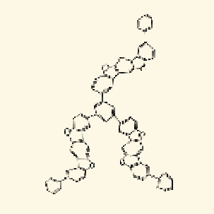 C1=C2Oc3ccc(-c4ccccc4)cc3C2Cc2oc3ccc(-c4cc(-c5ccc6oc7cc8c(cc7c6c5)oc5ccc(-c6ccccc6)cc58)cc(-c5ccc6oc7cc8c(cc7c6c5)oc5ccc(-c6ccccc6)cc58)c4)cc3c21